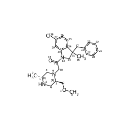 COC[C@H]1CN[C@H](C)CN1CC(=O)N1CC(C)(Cc2ccccc2)c2ccc(Cl)cc21